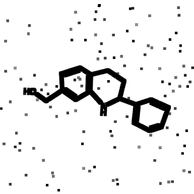 OCc1ccc2c(c1)NC(c1ccccc1)CC2